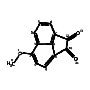 COc1ccc2c3c(cccc13)C(=O)C2=O